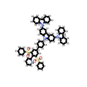 O=S(=O)(c1ccccc1)c1cc(-c2ccc(-n3c4ccc(-n5c6ccccc6c6ccccc65)cc4c4cc(-n5c6ccccc6c6ccccc65)ccc43)cc2)cc(S(=O)(=O)c2ccccc2)c1-c1ccccn1